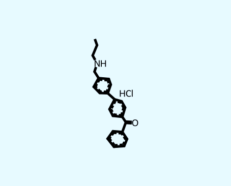 CCCNCc1ccc(-c2ccc(C(=O)c3ccccc3)cc2)cc1.Cl